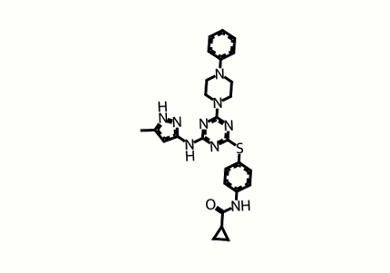 Cc1cc(Nc2nc(Sc3ccc(NC(=O)C4CC4)cc3)nc(N3CCN(c4ccccc4)CC3)n2)n[nH]1